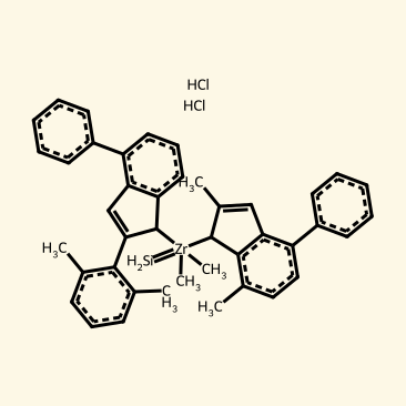 CC1=Cc2c(-c3ccccc3)ccc(C)c2[CH]1[Zr]([CH3])([CH3])(=[SiH2])[CH]1C(c2c(C)cccc2C)=Cc2c(-c3ccccc3)cccc21.Cl.Cl